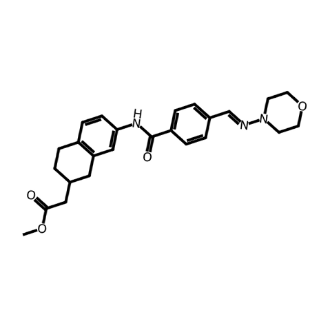 COC(=O)CC1CCc2ccc(NC(=O)c3ccc(/C=N/N4CCOCC4)cc3)cc2C1